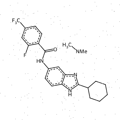 CNC.O=C(Nc1ccc2[nH]c(C3CCCCC3)nc2c1)c1ccc(C(F)(F)F)cc1F